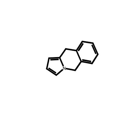 c1ccc2c(c1)Cc1cccn1C2